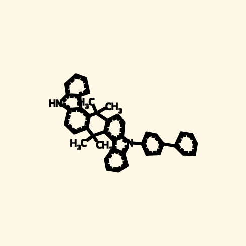 CC1(C)c2ccc3c(c2C(C)(C)c2ccc4[nH]c5ccccc5c4c21)c1ccccc1n3-c1ccc(-c2ccccc2)cc1